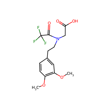 COc1ccc(CCN(CC(=O)O)C(=O)C(F)(F)F)cc1OC